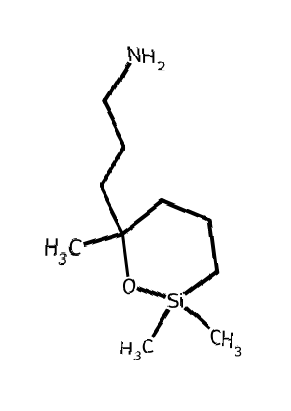 CC1(CCCN)CCC[Si](C)(C)O1